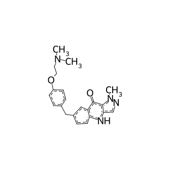 CN(C)CCOc1ccc(Cc2ccc3[nH]c4cnn(C)c4c(=O)c3c2)cc1